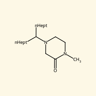 CCCCCCCC(CCCCCCC)N1CCN(C)C(=O)C1